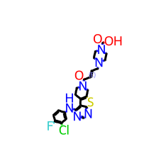 O=C(O)N1CCN(C/C=C/C(=O)N2CCc3c(sc4ncnc(Nc5ccc(F)c(Cl)c5)c34)C2)CC1